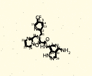 Nc1ncc(NC(=O)C(=O)N(Cc2ccc(C(F)(F)F)cn2)Cc2ncccn2)c2[nH]ncc12